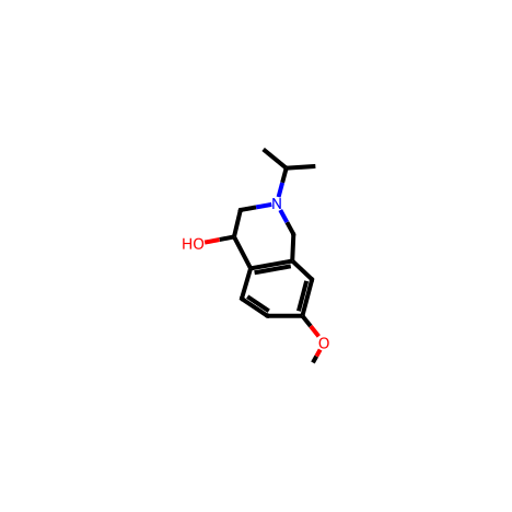 COc1ccc2c(c1)CN(C(C)C)CC2O